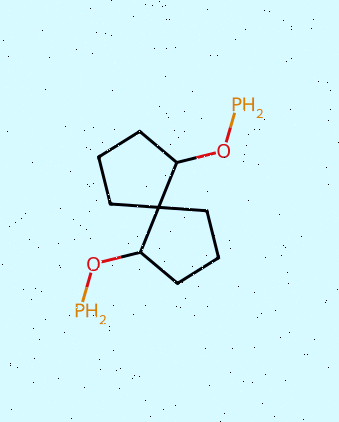 POC1CCCC12CCCC2OP